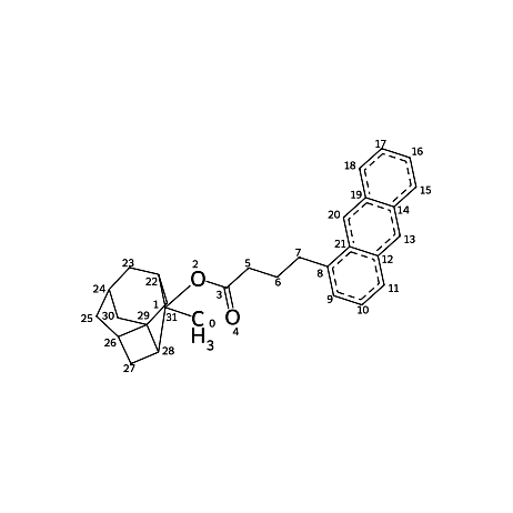 CC1(OC(=O)CCCc2cccc3cc4ccccc4cc23)C2CC3CC4CC1C4(C3)C2